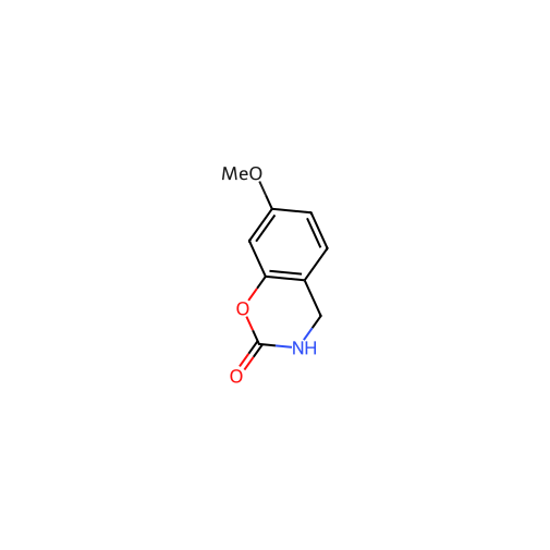 COc1ccc2c(c1)OC(=O)NC2